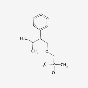 CC(C)C(COCP(C)(C)=O)c1ccccc1